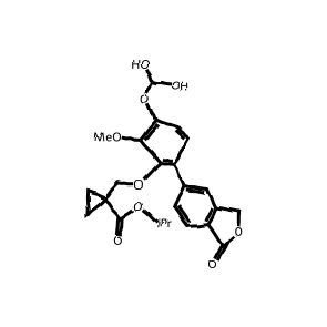 COc1c(OC(O)O)ccc(-c2ccc3c(c2)COC3=O)c1OCC1(C(=O)OC(C)C)CC1